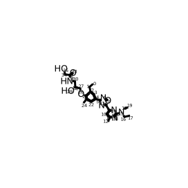 CCc1cc(-c2noc(-c3cc(C)nc(N(CC)CC)n3)n2)cc(C)c1OC[C@@H](O)CNC(=O)CO